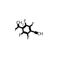 C#Cc1c(F)c(F)c(C(=C)I)c(F)c1F